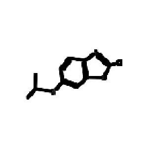 CC(C)Oc1ccc2nc(Cl)oc2c1